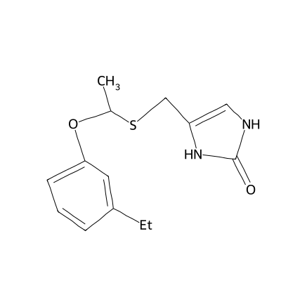 CCc1cccc(OC(C)SCc2c[nH]c(=O)[nH]2)c1